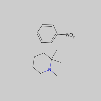 CN1CCCCC1(C)C.O=[N+]([O-])c1ccccc1